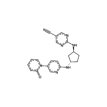 N#Cc1cnc(N[C@H]2CC[C@H](Nc3ccc(-n4ccccc4=O)cn3)C2)nc1